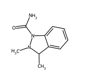 CC1c2cc[c]cc2N(C(N)=O)N1C